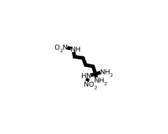 NC(N)(CCCCN[N+](=O)[O-])N[N+](=O)[O-]